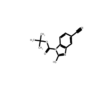 CC(C)(C)OC(=O)n1c(S)nc2cc(C#N)ccc21